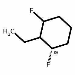 CCC1C(F)CCC[C@@H]1F